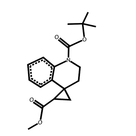 COC(=O)C1CC12CCN(C(=O)OC(C)(C)C)c1ccccc12